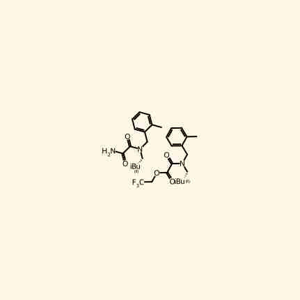 CC[C@@H](C)CN(Cc1ccccc1C)C(=O)C(=O)OCC(F)(F)F.CC[C@@H](C)CN(Cc1ccccc1C)C(=O)C(N)=O